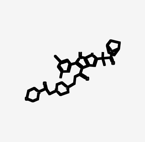 Cc1cc(C)cc(-c2[nH]c3sc(C(C)(C)C(=O)N4C5CCC4CC5)cc3c2C(=O)CCN2CCN(CC(=O)N3CCOCC3)CC2)c1